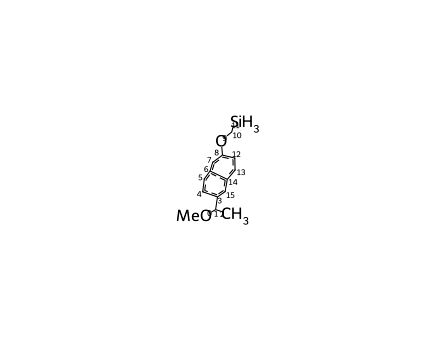 COC(C)c1ccc2cc(OC[SiH3])ccc2c1